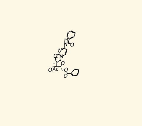 CC(=O)O[C@]1(C)[C@@H](COC(=O)c2ccccc2)O[C@@H](n2ccc(NC(=O)c3ccccc3)nc2=O)[C@]1(C)F